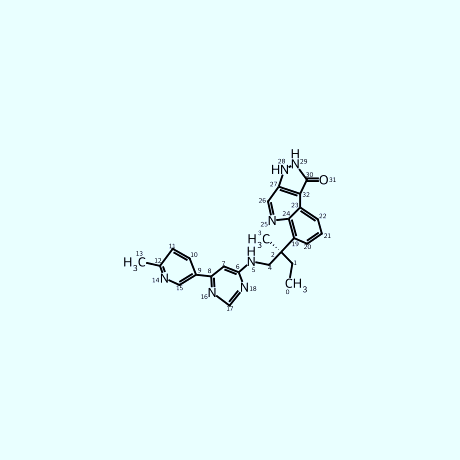 CC[C@@](C)(CNc1cc(-c2ccc(C)nc2)ncn1)c1cccc2c1ncc1[nH][nH]c(=O)c12